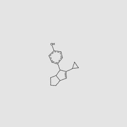 Oc1ccc(C2C(C3CC3)=CC3CCCC32)cc1